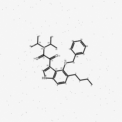 CCCCc1ccc2[nH]cc(C(=O)C(=O)N(C(C)C)C(C)C)c2c1OCc1ccccc1